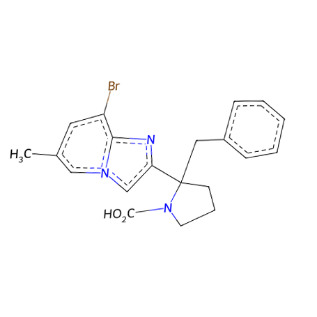 Cc1cc(Br)c2nc(C3(Cc4ccccc4)CCCN3C(=O)O)cn2c1